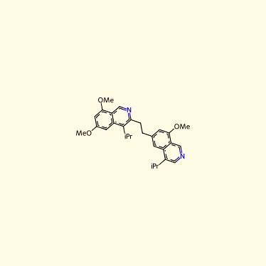 COc1cc(OC)c2cnc(CCc3cc(OC)c4cncc(C(C)C)c4c3)c(C(C)C)c2c1